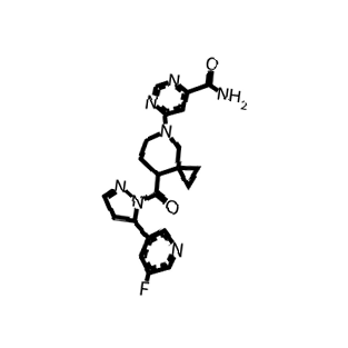 NC(=O)c1cc(N2CCC(C(=O)N3N=CCC3c3cncc(F)c3)C3(CC3)C2)ncn1